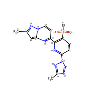 CCS(=O)(=O)c1ccc(-n2cnc(C(F)(F)F)n2)nc1-c1ccn2nc(C(F)(F)F)cc2n1